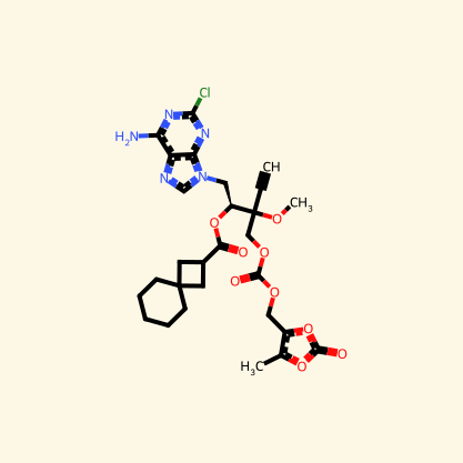 C#CC(COC(=O)OCc1oc(=O)oc1C)(OC)[C@H](Cn1cnc2c(N)nc(Cl)nc21)OC(=O)C1CC2(CCCCC2)C1